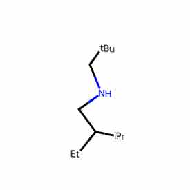 CCC(CNCC(C)(C)C)C(C)C